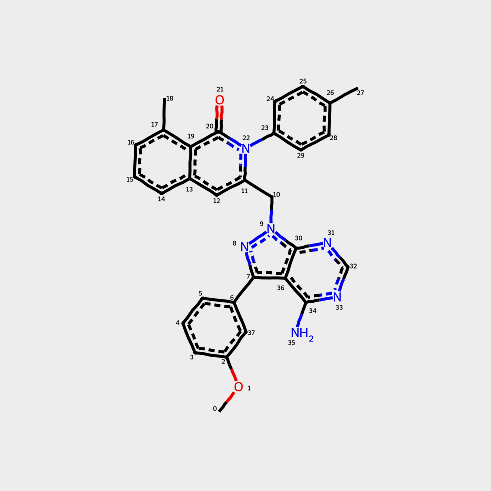 COc1cccc(-c2nn(Cc3cc4cccc(C)c4c(=O)n3-c3ccc(C)cc3)c3ncnc(N)c23)c1